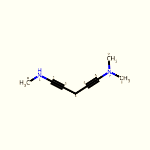 CNC#CCC#CN(C)C